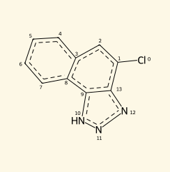 Clc1cc2ccccc2c2[nH]nnc12